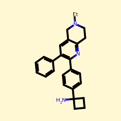 CCN1CCc2nc(-c3ccc(C4(N)CCC4)cc3)c(-c3ccccc3)cc2C1